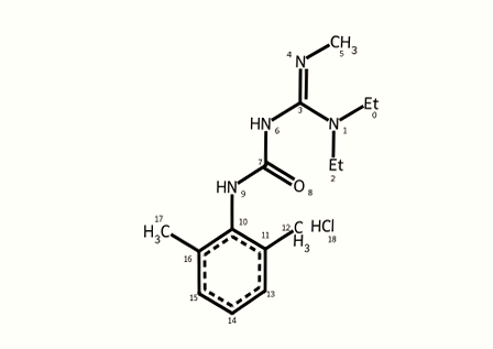 CCN(CC)C(=NC)NC(=O)Nc1c(C)cccc1C.Cl